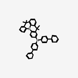 CC1(C)c2ccccc2N2c3ccc(N(c4ccc(C5=CC=CCC5)cc4)c4ccc(-c5ccccc5)cc4)cc3C(C)(C)c3cccc1c32